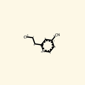 N#Cc1ccnc(CCCl)c1